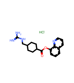 Cl.N=C(N)NCC1CCC(C(=O)Oc2cccc3cccnc23)CC1